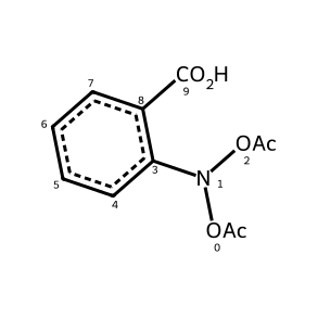 CC(=O)ON(OC(C)=O)c1ccccc1C(=O)O